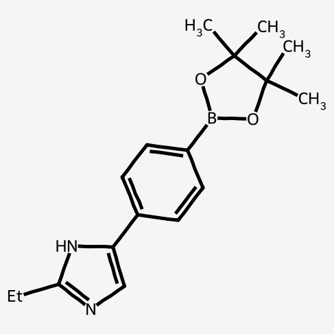 CCc1ncc(-c2ccc(B3OC(C)(C)C(C)(C)O3)cc2)[nH]1